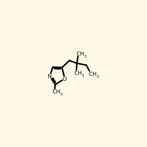 CCC(C)(C)Cc1cnc(C)o1